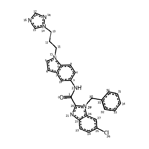 O=C(Nc1ccc2c(ccn2CCCn2cncn2)c1)c1nc2ccc(Cl)cc2n1Cc1ccccc1